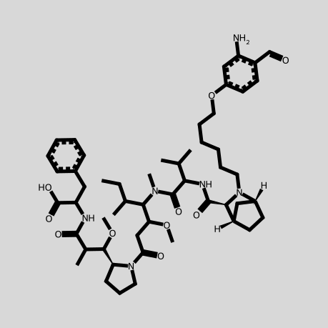 CCC(C)C(C(CC(=O)N1CCC[C@H]1C(OC)C(C)C(=O)NC(Cc1ccccc1)C(=O)O)OC)N(C)C(=O)C(NC(=O)[C@@H]1[C@H]2CC[C@H](C2)N1CCCCCCOc1ccc(C=O)c(N)c1)C(C)C